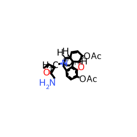 CC(=O)Oc1ccc2c3c1O[C@H]1[C@@H](OC(C)=O)C=C[C@H]4[C@@H](C2)N(C)CC[C@@]341.NCc1ccco1